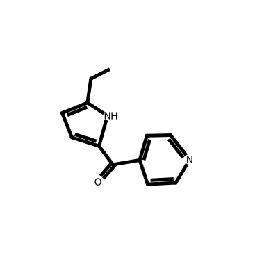 CCc1ccc(C(=O)c2ccncc2)[nH]1